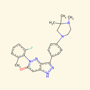 Cc1cccc(F)c1-n1nc2c(-c3ccc(N4CCN(C)C(C)(C)C4)cc3)n[nH]c2cc1=O